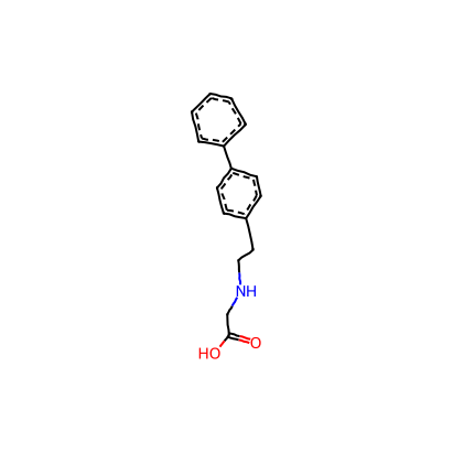 O=C(O)CNCCc1ccc(-c2ccccc2)cc1